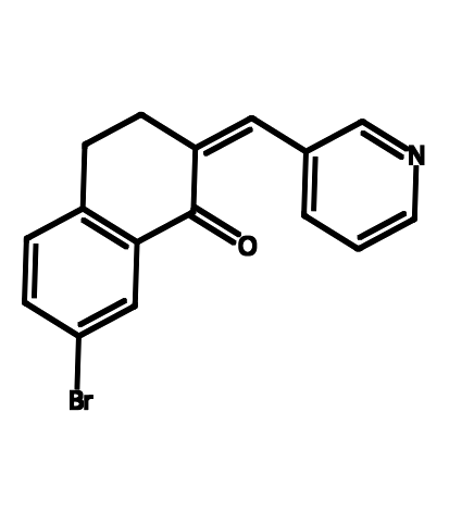 O=C1C(=Cc2cccnc2)CCc2ccc(Br)cc21